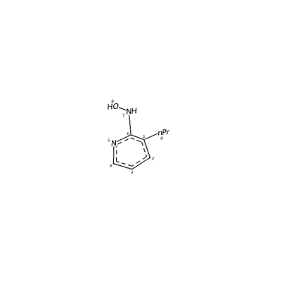 CCCc1cccnc1NO